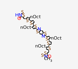 CCCCCCCCc1cc(/C=C2\SC(=S)NC2=O)sc1-c1ccc(-c2sc(-c3nc4cc5sc(-c6cc(CCCCCCCC)c(-c7ccc(-c8sc(/C=C9\SC(=S)N(C)C9=O)cc8CCCCCCCC)s7)s6)nc5cc4s3)cc2CCCCCCCC)s1